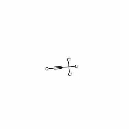 [O]C#CC(Cl)(Cl)Cl